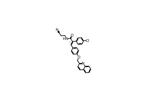 N#CCCNC(=O)/C(=C/c1ccc(OCc2ccc3ccccc3n2)cc1)c1ccc(Cl)cc1